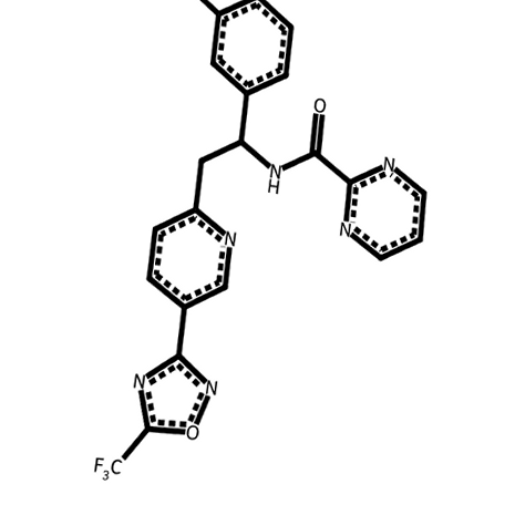 O=C(NC(Cc1ccc(-c2noc(C(F)(F)F)n2)cn1)c1cccc(C(F)(F)F)c1)c1ncccn1